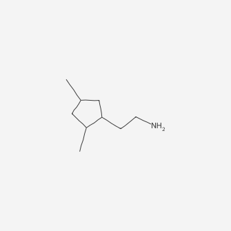 CC1CC(C)C(CCN)C1